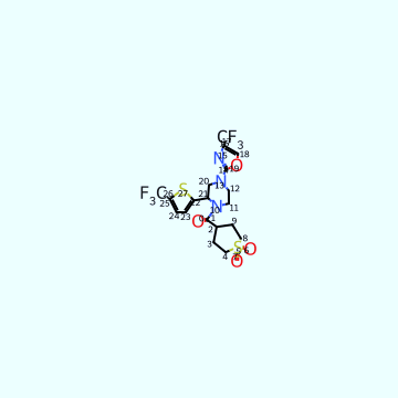 O=C(C1CCS(=O)(=O)CC1)N1CCN(c2nc(C(F)(F)F)co2)CC1c1ccc(C(F)(F)F)s1